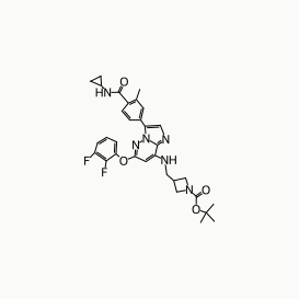 Cc1cc(-c2cnc3c(NCC4CN(C(=O)OC(C)(C)C)C4)cc(Oc4cccc(F)c4F)nn23)ccc1C(=O)NC1CC1